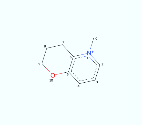 C[n+]1cccc2c1CCCO2